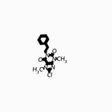 Cn1c(Cl)nc2c1c(=O)n(CCc1ccccc1)c(=O)n2C